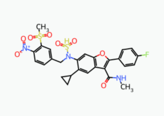 CNC(=O)c1c(-c2ccc(F)cc2)oc2cc(N(Cc3ccc([N+](=O)[O-])c(S(C)(=O)=O)c3)[SH](=O)=O)c(C3CC3)cc12